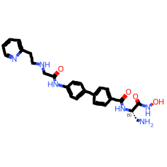 NC[C@H](NC(=O)c1ccc(-c2ccc(NC(=O)CNCCc3ccccn3)cc2)cc1)C(=O)NO